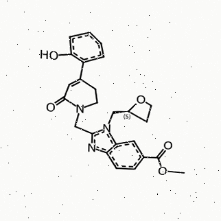 COC(=O)c1ccc2nc(CN3CCC(c4ccccc4O)=CC3=O)n(C[C@@H]3CCO3)c2c1